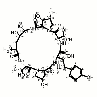 C[C@@H](O)[C@@H]1NC(=O)[C@H]([C@H](O)[C@@H](O)c2ccc(O)cc2)NC(=O)[C@@H]2C[C@@H](O)CN2C(=O)[C@H]([C@@H](C)O)NC(=O)C(N)C[C@@H](O)[C@@H](O)NC(=O)[C@@H]2[C@@H](O)[C@@H](C)CN2C1=O